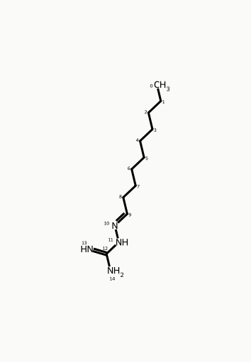 CCCCCCCCC/C=N/NC(=N)N